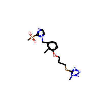 Cc1c(Cn2ccnc2S(C)(=O)=O)cccc1OCCCSc1nnnn1C